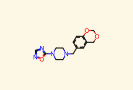 c1noc(N2CCN(Cc3ccc4c(c3)COCO4)CC2)n1